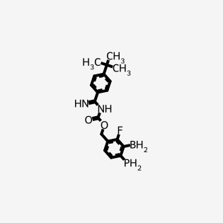 Bc1c(P)ccc(COC(=O)NC(=N)c2ccc(C(C)(C)C)cc2)c1F